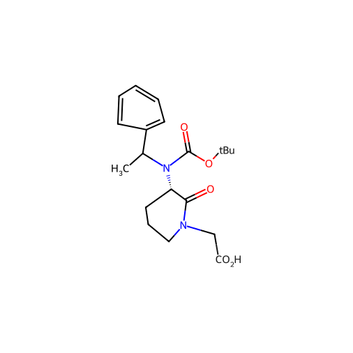 CC(c1ccccc1)N(C(=O)OC(C)(C)C)[C@H]1CCCN(CC(=O)O)C1=O